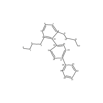 CCCCc1cccc(CCCC)c1-c1ccc(-c2ccccc2)cc1